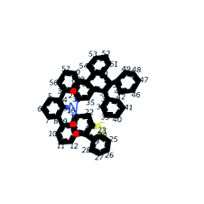 c1ccc(-c2cccc(-c3ccccc3)c2N(c2ccc3c(c2)sc2ccccc23)c2ccc3c(c2)c(-c2ccccc2)c(-c2ccccc2)c2ccccc23)cc1